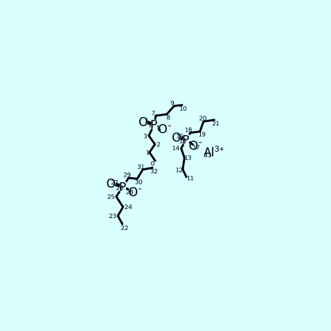 CCCCP(=O)([O-])CCCC.CCCCP(=O)([O-])CCCC.CCCCP(=O)([O-])CCCC.[Al+3]